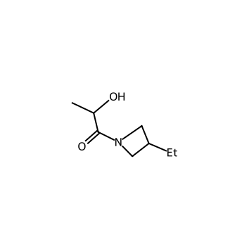 CCC1CN(C(=O)C(C)O)C1